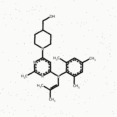 CC(C)=CN(c1cc(N2CCC(CO)CC2)nc(C)n1)c1c(C)cc(C)cc1C